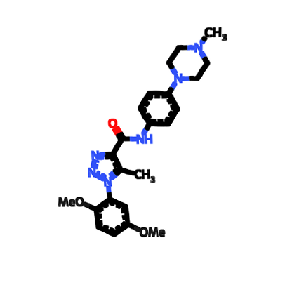 COc1ccc(OC)c(-n2nnc(C(=O)Nc3ccc(N4CCN(C)CC4)cc3)c2C)c1